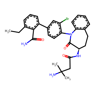 CCc1cccc(-c2ccc(N3C(=O)[C@H](NC(=O)CC(C)(C)N)CCc4ccccc43)c(Br)c2)c1C(N)=O